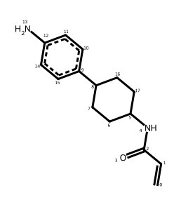 C=CC(=O)NC1CCC(c2ccc(N)cc2)CC1